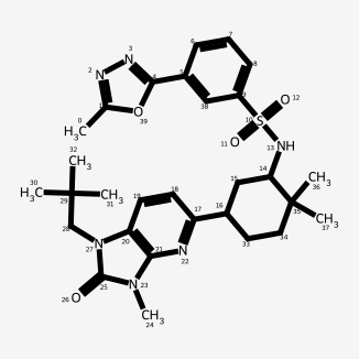 Cc1nnc(-c2cccc(S(=O)(=O)NC3CC(c4ccc5c(n4)n(C)c(=O)n5CC(C)(C)C)CCC3(C)C)c2)o1